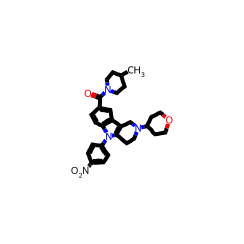 CC1CCN(C(=O)c2ccc3c(c2)c2c(n3-c3ccc([N+](=O)[O-])cc3)CCN(C3CCOCC3)C2)CC1